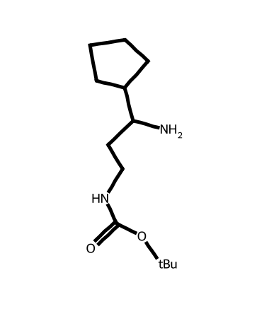 CC(C)(C)OC(=O)NCCC(N)C1CCCC1